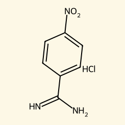 Cl.N=C(N)c1ccc([N+](=O)[O-])cc1